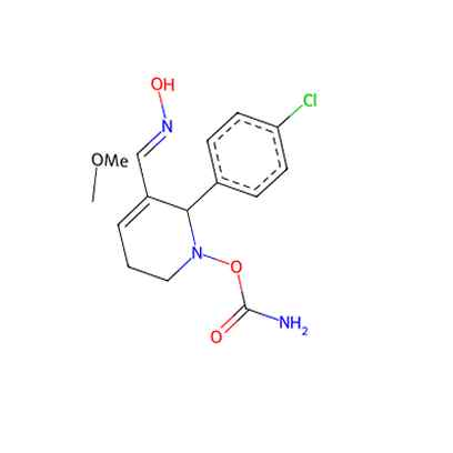 COC.NC(=O)ON1CCC=C(C=NO)C1c1ccc(Cl)cc1